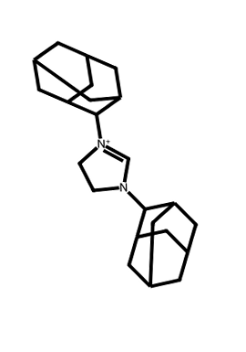 C1=[N+](C2C3CC4CC(C3)CC2C4)CCN1C1C2CC3CC(C2)CC1C3